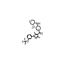 CO[C@@H]1COCC[C@H]1NC1CCN(C(=O)c2c(C)nn(-c3cccc(OC(F)(F)F)c3)c2C)CC1